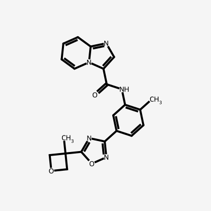 Cc1ccc(-c2noc(C3(C)COC3)n2)cc1NC(=O)c1cnc2ccccn12